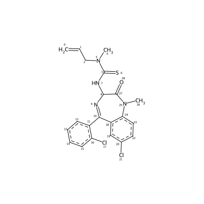 C=CCN(C)C(=S)NC1N=C(c2ccccc2Cl)c2cc(Cl)ccc2N(C)C1=O